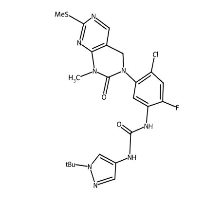 CSc1ncc2c(n1)N(C)C(=O)N(c1cc(NC(=O)Nc3cnn(C(C)(C)C)c3)c(F)cc1Cl)C2